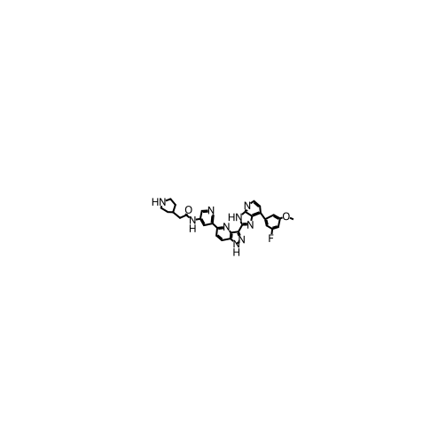 COc1cc(F)cc(-c2ccnc3[nH]c(-c4n[nH]c5ccc(-c6cncc(NC(=O)CC7CCNCC7)c6)nc45)nc23)c1